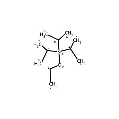 C[CH]O[Si](C(C)C)(C(C)C)C(C)C